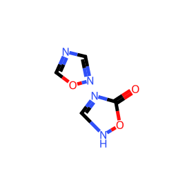 O=c1nc[nH]o1.c1ncon1